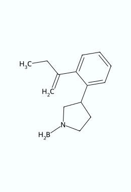 BN1CCC(c2ccccc2C(=C)CC)C1